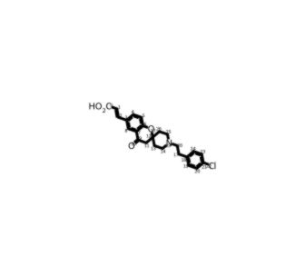 O=C(O)C=Cc1ccc2c(c1)C(=O)CC1(CCN(CCc3ccc(Cl)cc3)CC1)O2